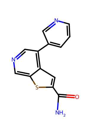 NC(=O)c1cc2c(-c3cccnc3)cncc2s1